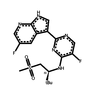 CC(C)(C)[C@@H](CS(C)(=O)=O)Nc1nc(-c2c[nH]c3ncc(F)cc23)ncc1F